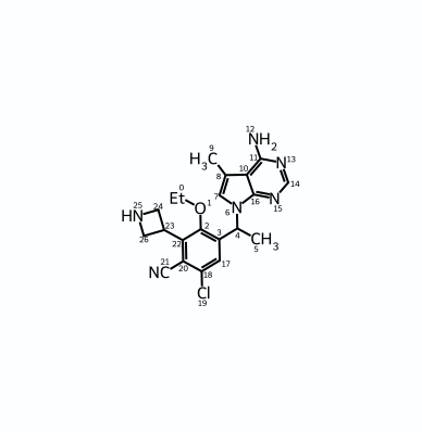 CCOc1c(C(C)n2cc(C)c3c(N)ncnc32)cc(Cl)c(C#N)c1C1CNC1